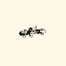 N#Cc1cnc(NC(=O)N2CCCc3cc(CNC(=O)C4CCCO4)c(C=O)nc32)cc1N